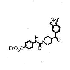 CCOC(=O)c1ccc(NC(=O)N2CCC(C(=O)c3ccc4c(cnn4C)c3)CC2)cc1